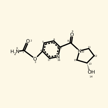 NC(=O)Oc1ccc(C(=O)N2CC[C@H](O)C2)nc1